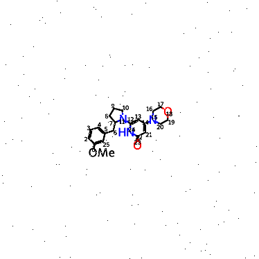 COc1cccc(CC2CCCN2c2cc(N3CCOCC3)cc(=O)[nH]2)c1